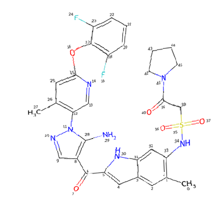 Cc1cc2cc(C(=O)c3cnn(-c4cnc(Oc5c(F)cccc5F)cc4C)c3N)[nH]c2cc1NS(=O)(=O)CC(=O)N1CCCC1